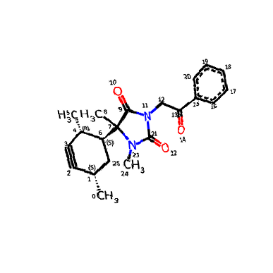 C[C@@H]1C#C[C@H](C)[C@@H](C2(C)C(=O)N(CC(=O)c3ccccc3)C(=O)N2C)C1